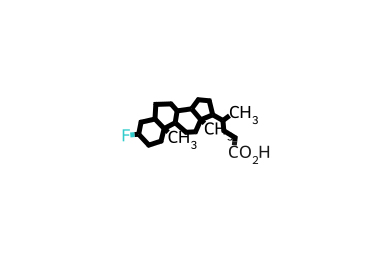 CC(CCC(=O)O)C1CCC2C3CCC4CC(F)CCC4(C)C3CCC12C